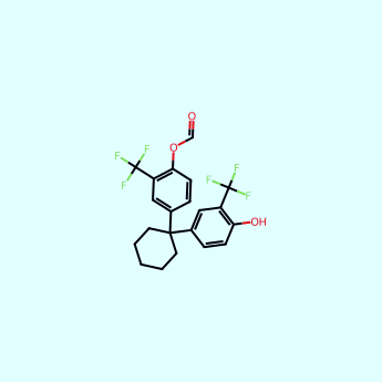 O=COc1ccc(C2(c3ccc(O)c(C(F)(F)F)c3)CCCCC2)cc1C(F)(F)F